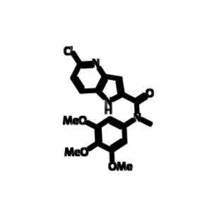 COc1cc(N(C)C(=O)c2cc3nc(Cl)ccc3[nH]2)cc(OC)c1OC